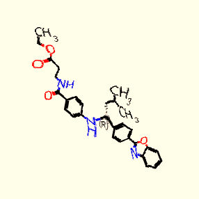 CCOC(=O)CCNC(=O)c1ccc(N[C@H](CC(C)C)c2ccc(-c3nc4ccccc4o3)cc2)cc1